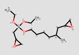 CCO[Si](CC1CO1)(OCC)OCCCCC(C)CC1CO1